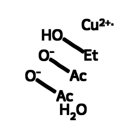 CC(=O)[O-].CC(=O)[O-].CCO.O.[Cu+2]